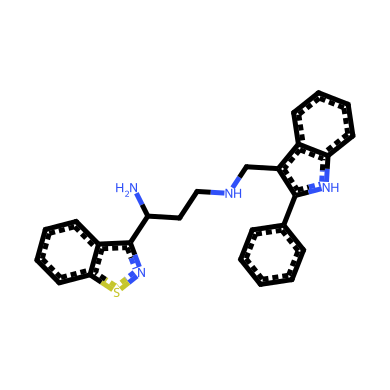 NC(CCNCc1c(-c2ccccc2)[nH]c2ccccc12)c1nsc2ccccc12